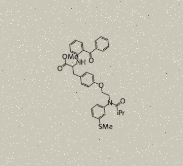 COC(=O)C(Cc1ccc(OCCN(C(=O)C(C)C)c2cccc(SC)c2)cc1)Nc1ccccc1C(=O)c1ccccc1